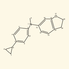 CN(c1ccc(C2CC2)cc1)c1ccc2c(c1)OCC2